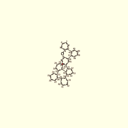 c1ccc2c(c1)Oc1ccc(-c3cccc4c3-c3ccccc3-c3ccccc3-c3ccccc3-4)cc1-c1ccccc1-2